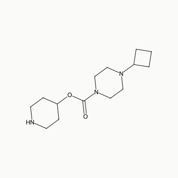 O=C(OC1CCNCC1)N1CCN(C2CCC2)CC1